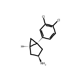 N[C@H]1C[C@H]2C[C@@]2(c2ccc(Cl)c(Cl)c2)C1